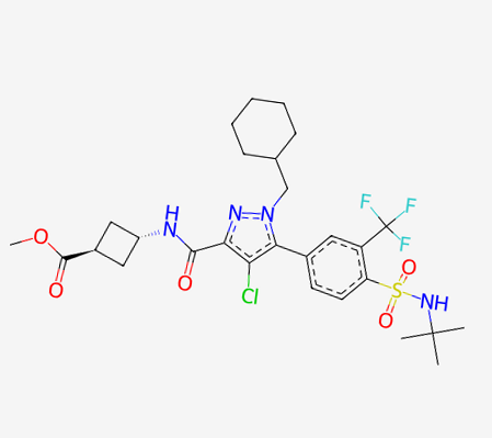 COC(=O)[C@H]1C[C@H](NC(=O)c2nn(CC3CCCCC3)c(-c3ccc(S(=O)(=O)NC(C)(C)C)c(C(F)(F)F)c3)c2Cl)C1